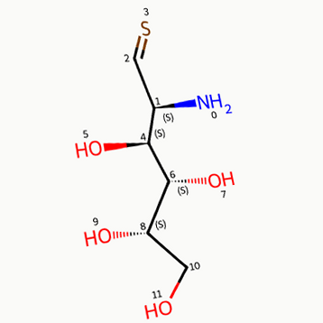 N[C@H](C=S)[C@H](O)[C@H](O)[C@@H](O)CO